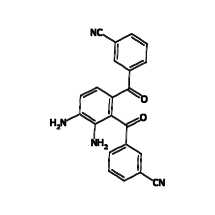 N#Cc1cccc(C(=O)c2ccc(N)c(N)c2C(=O)c2cccc(C#N)c2)c1